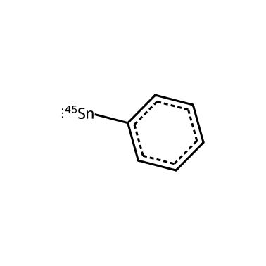 [45Sn][c]1ccccc1